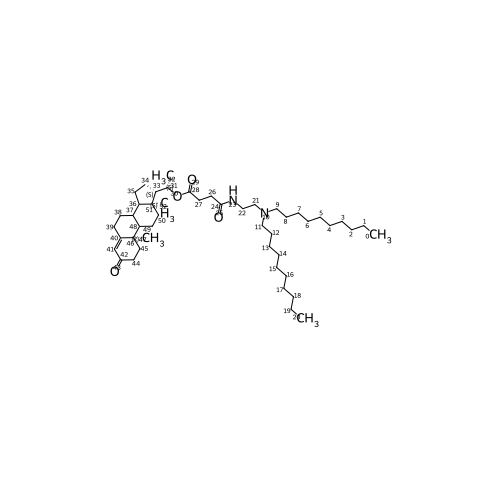 CCCCCCCCCCN(CCCCCCCCCC)CCNC(=O)CCC(=O)O[C@@H](C)[C@H]1CCC2C3CCC4=CC(=O)CC[C@]4(C)C3CC[C@@]21C